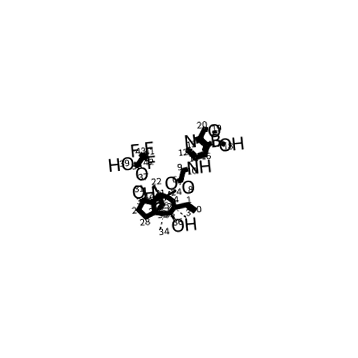 C=C[C@]1(C)C[C@@H](OC(=O)CNc2cnc3c(c2)B(O)OC3)[C@]2(C)[C@H](C)CC[C@]3(CCC(=O)[C@H]32)[C@@H](C)[C@@H]1O.O=C(O)C(F)(F)F